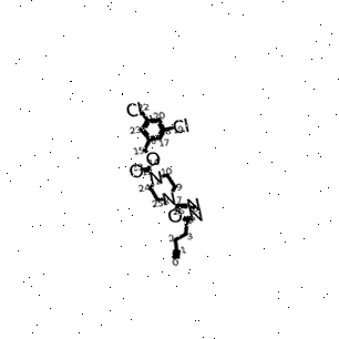 C#CCCc1nnc(N2CCN(C(=O)OCc3cc(Cl)cc(Cl)c3)CC2)o1